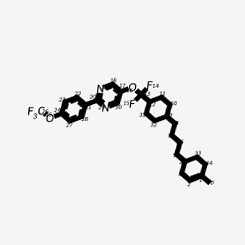 CC1=CCC(CCCCC2CCC(C(F)(F)Oc3cnc(-c4ccc(OC(F)(F)F)cc4)nc3)CC2)CC1